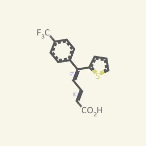 O=C(O)/C=C/C=C(/c1ccc(C(F)(F)F)cc1)c1cccs1